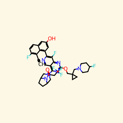 C#Cc1c(F)ccc2cc(O)cc(-c3ncc4c(N5CC6CCC(C5)N6C(=O)CC(F)(F)F)nc(OCC5(CN6CCC(F)CC6)CC5)nc4c3F)c12